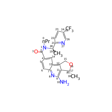 CCCN(C(=O)c1ccc2nc(N)c3c(c2c1)CO[C@@H]3C)[C@H](C)c1ccc(C(F)(F)F)cn1